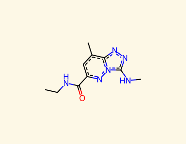 CCNC(=O)c1cc(C)c2nnc(NC)n2n1